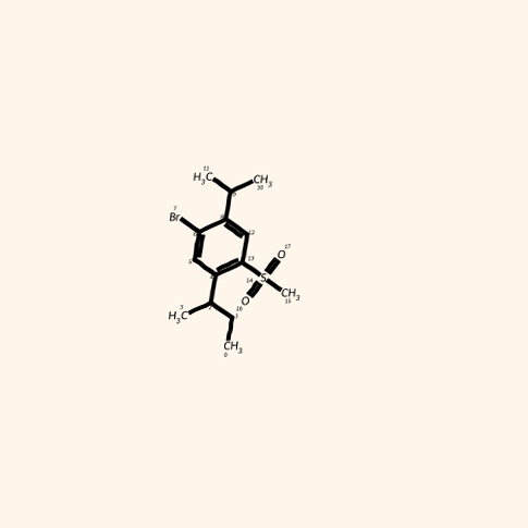 CCC(C)c1cc(Br)c(C(C)C)cc1S(C)(=O)=O